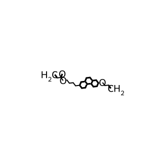 C=CCOc1ccc2c(ccc3cc(CCCCOC(=O)C=C)ccc32)c1